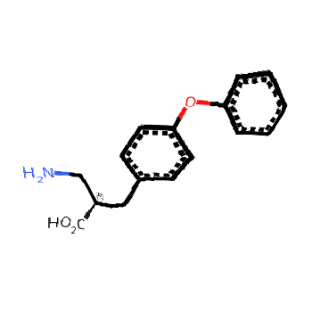 NC[C@@H](Cc1ccc(Oc2ccccc2)cc1)C(=O)O